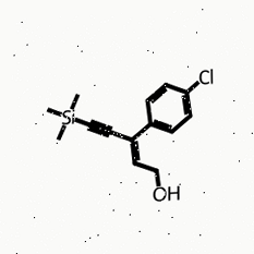 C[Si](C)(C)C#C/C(=C/CO)c1ccc(Cl)cc1